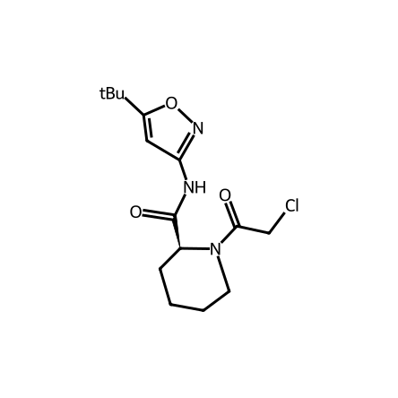 CC(C)(C)c1cc(NC(=O)[C@@H]2CCCCN2C(=O)CCl)no1